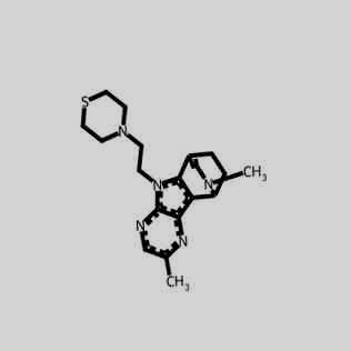 Cc1cnc2c(n1)c1c(n2CCN2CCSCC2)C2=CN(C)C1CC2